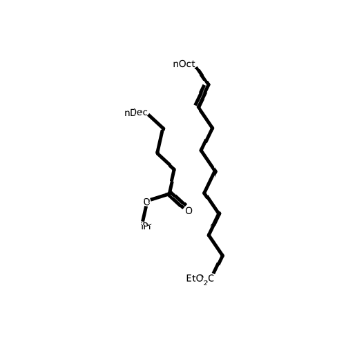 CCCCCCCCC=CCCCCCCCC(=O)OCC.CCCCCCCCCCCCCC(=O)OC(C)C